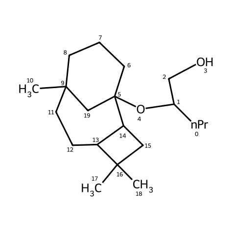 CCCC(CO)OC12CCCC(C)(CCC3C1CC3(C)C)C2